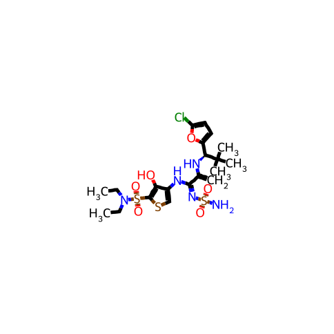 C=C(N[C@@H](c1ccc(Cl)o1)C(C)(C)C)/C(=N\S(N)(=O)=O)Nc1csc(S(=O)(=O)N(CC)CC)c1O